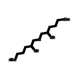 CCCCCCCCCCCCCC(O)COCC(O)CCCCCCCCCCCCC